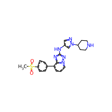 CS(=O)(=O)c1ccc(-c2cccn3nc(Nc4cnn(C5CCNCC5)c4)nc23)cc1